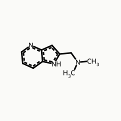 CN(C)Cc1cc2ncccc2[nH]1